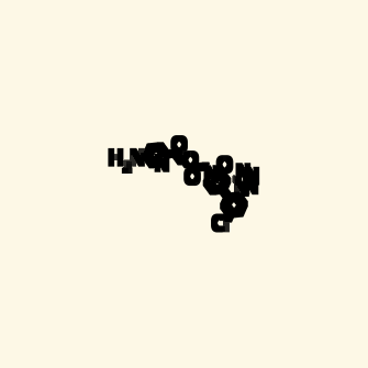 Nc1ccc(C(=O)COC(=O)Cn2ccc(-c3cc(Cl)ccc3-n3cnnn3)cc2=O)nc1